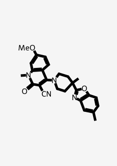 COc1ccc2c(N3CCC(C)(c4nc5cc(C)ccc5o4)CC3)c(C#N)c(=O)n(C)c2c1